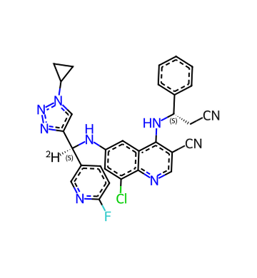 [2H][C@](Nc1cc(Cl)c2ncc(C#N)c(N[C@@H](CC#N)c3ccccc3)c2c1)(c1ccc(F)nc1)c1cn(C2CC2)nn1